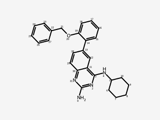 Nc1nc(NC2CCCCC2)c2cc(-c3ccccc3OCc3ccccc3)ccc2n1